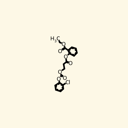 CCOC(=O)c1ccccc1OC(=O)CCOC(=O)Oc1ccccc1Cl